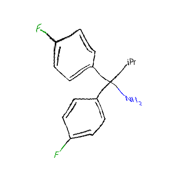 CC(C)C(N)(c1ccc(F)cc1)c1ccc(F)cc1